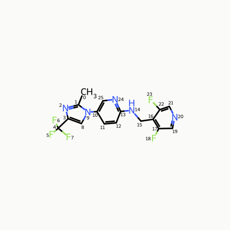 Cc1nc(C(F)(F)F)cn1-c1ccc(NCc2c(F)cncc2F)nc1